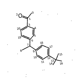 CC(=O)c1ccc(C(C)c2ccc(C(C)(C)C)cc2)cc1